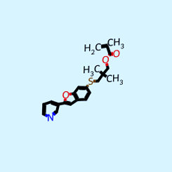 C=C(C)C(=O)OCC(C)(C)CSc1ccc2cc(-c3cccnc3)oc2c1